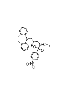 CN(CC(F)CN1c2ccccc2CCc2ccccc21)S(=O)(=O)c1ccc([N+](=O)[O-])cc1